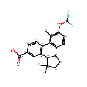 Cc1c(OC(F)F)cccc1-c1ccc(C(=O)O)cc1C1CCCC1(C)C